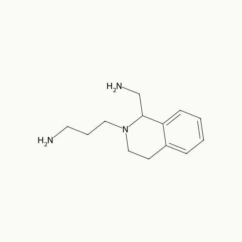 NCCCN1CCc2ccccc2C1CN